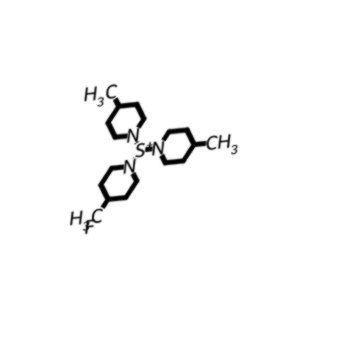 CC1CCN([S+](N2CCC(C)CC2)N2CCC(C)CC2)CC1.[F-]